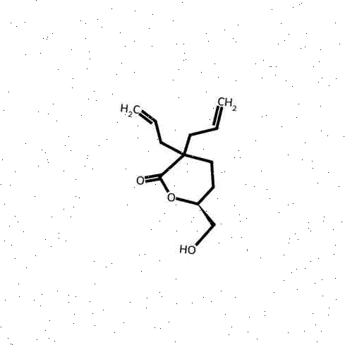 C=CCC1(CC=C)CC[C@@H](CO)OC1=O